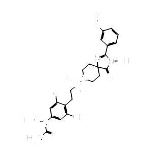 Cc1cc(N(C)C(N)=O)cc(C)c1CCS(=O)(=O)N1CCC2(CC1)N=C(c1cccc(OF)c1)N(C)C2=O